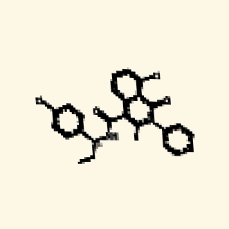 CC[C@H](NC(=O)c1c(C)n(-c2ccccc2)c(=O)c2c(Cl)cccc12)c1ccc(Cl)cc1